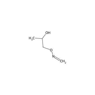 C=NOCC(C)O